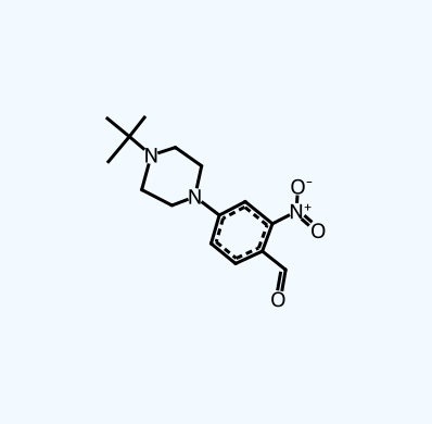 CC(C)(C)N1CCN(c2ccc(C=O)c([N+](=O)[O-])c2)CC1